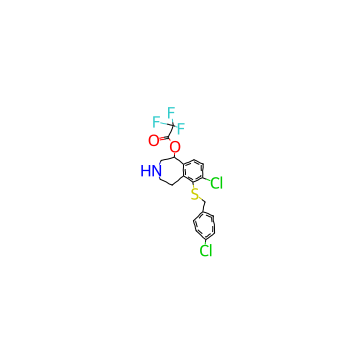 O=C(OC1CNCCc2c1ccc(Cl)c2SCc1ccc(Cl)cc1)C(F)(F)F